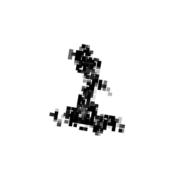 CCCc1cc(C)[nH]c(=O)c1CNC(=O)c1cc(-c2ccc(N3CCC(N(C)Cc4cc5c(cc4Br)C(=O)N(C4CCC(=O)NC4=O)C5=O)CC3)nc2)cc2c1cnn2C(C)C